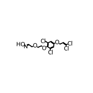 ON=CCOCCOc1c(Cl)cc(OCC=C(Cl)Cl)cc1Cl